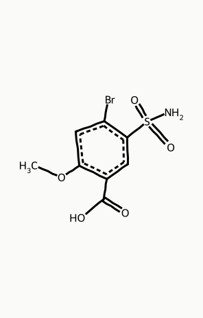 COc1cc(Br)c(S(N)(=O)=O)cc1C(=O)O